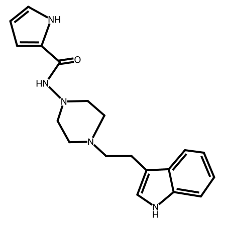 O=C(NN1CCN(CCc2c[nH]c3ccccc23)CC1)c1ccc[nH]1